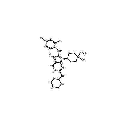 CC1(C(=O)O)CCC(n2c(Nc3c(F)cc(Cl)cc3Cl)nc3cnc(NC4CCOCC4)nc32)CC1